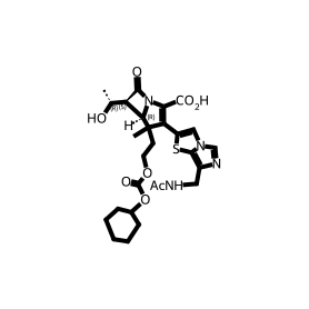 CC(=O)NCc1ncn2cc(C3=C(C(=O)O)N4C(=O)[C@H]([C@@H](C)O)[C@@H]4C3(C)CCOC(=O)OC3CCCCC3)sc12